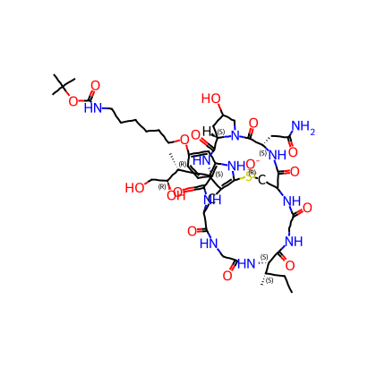 CC[C@H](C)[C@@H]1NC(=O)CNC(=O)C2Cc3c([nH]c4cc(OCCCCCCNC(=O)OC(C)(C)C)ccc34)[S@@+]([O-])CC(NC(=O)CNC1=O)C(=O)N[C@@H](CC(N)=O)C(=O)N1CC(O)C[C@H]1C(=O)N[C@@H]([C@@H](C)[C@@H](O)CO)C(=O)N2